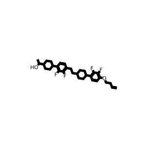 C=CCCOc1ccc(C2CCC(CCc3ccc(C4CCC(C(C)O)CC4)c(F)c3F)CC2)c(F)c1F